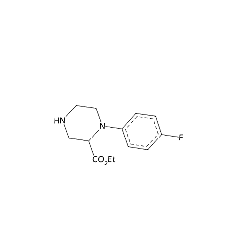 CCOC(=O)C1CNCCN1c1ccc(F)cc1